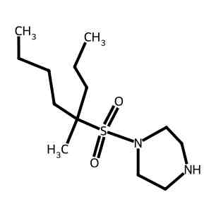 CCCCC(C)(CCC)S(=O)(=O)N1CCNCC1